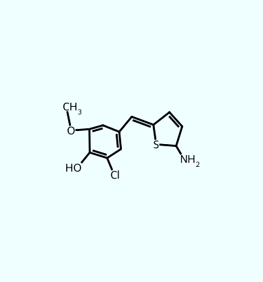 COc1cc(/C=C2/C=CC(N)S2)cc(Cl)c1O